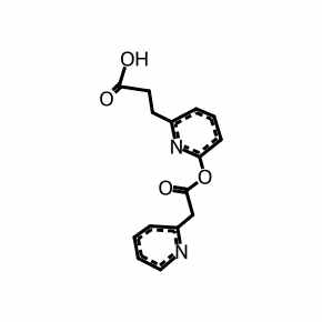 O=C(O)CCc1cccc(OC(=O)Cc2ccccn2)n1